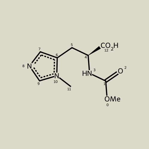 COC(=O)N[C@@H](Cc1cncn1C)C(=O)O